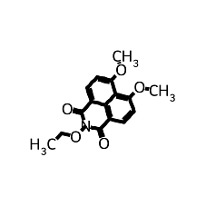 CCON1C(=O)c2ccc(OC)c3c(OC)ccc(c23)C1=O